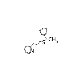 CC(SCCCc1ccccn1)c1ccccc1